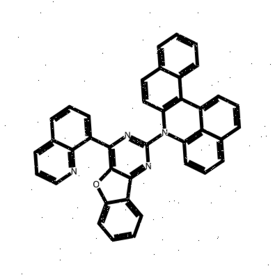 c1ccc2c3c(ccc2c1)N(c1nc(-c2cccc4cccnc24)c2oc4ccccc4c2n1)c1cccc2cccc-3c12